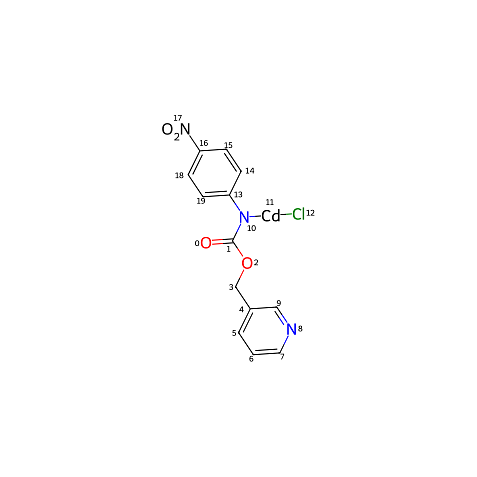 O=C(OCc1cccnc1)[N]([Cd][Cl])c1ccc([N+](=O)[O-])cc1